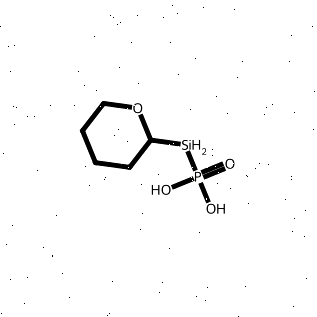 O=P(O)(O)[SiH2]C1CCCCO1